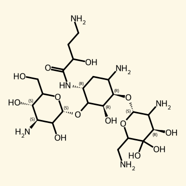 NCCC(O)C(=O)N[C@@H]1CC(N)[C@@H](O[C@H]2OC(CN)C(O)(O)[C@H](O)C2N)[C@@H](O)C1O[C@H]1OC(CO)[C@@H](O)[C@H](N)C1O